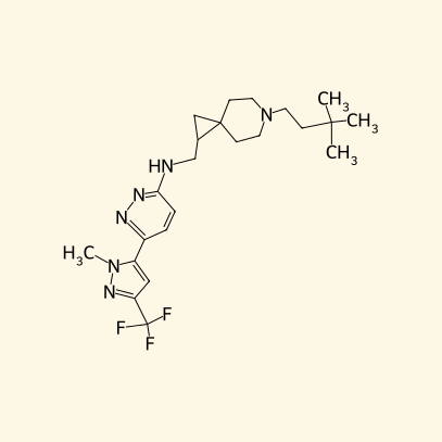 Cn1nc(C(F)(F)F)cc1-c1ccc(NCC2CC23CCN(CCC(C)(C)C)CC3)nn1